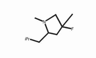 CC(C)CC1CC(C)(F)CN1C